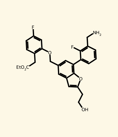 CCOC(=O)Cc1ccc(F)cc1OCc1cc(-c2cccc(CN)c2F)c2oc(CCO)cc2c1